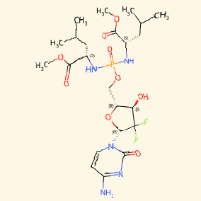 COC(=O)[C@H](CC(C)C)NP(=O)(N[C@@H](CC(C)C)C(=O)OC)OC[C@H]1O[C@@H](n2ccc(N)nc2=O)C(F)(F)[C@@H]1O